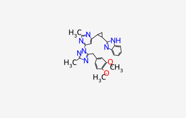 COc1ccc(Cc2nc(C)nn2-c2cc(C3CC3c3nc4ccccc4[nH]3)nc(C)n2)cc1OC